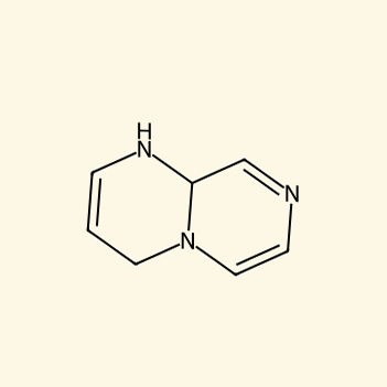 C1=CNC2C=NC=CN2C1